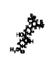 CC(=O)N1CCc2c(C(O)N3CCC(c4cc(C(F)(F)F)cc(C(F)(F)F)c4)CC3)n[nH]c2C1